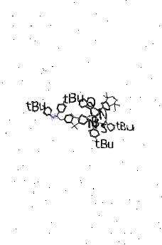 CC(C)(C)c1ccc(/C=C(/Cc2ccc3c(c2)C(C)(C)c2cc4c(cc2-3)-c2c3c5c(c6cc7c(cc6n5-c5c(sc6ccc(C(C)(C)C)cc56)B3N4c3ccc(C(C)(C)C)cc3)C(C)(C)CCC7(C)C)c3oc4ccccc4c23)c2ccc(C(C)(C)C)cc2)cc1